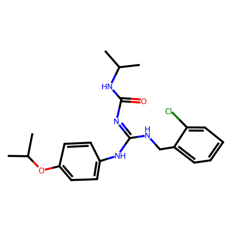 CC(C)NC(=O)/N=C(\NCc1ccccc1Cl)Nc1ccc(OC(C)C)cc1